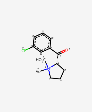 CC(=O)[N+]1(C(=O)O)CCC[C@H]1C(=O)c1cccc(Cl)c1